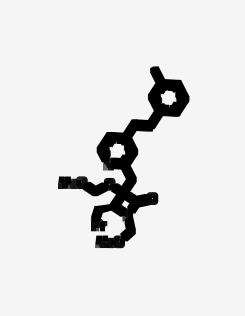 COCOC1(Cc2cc(/C=C/c3cccc(C)c3)ccn2)C(=O)N(COC)[C@H]1CC(C)C